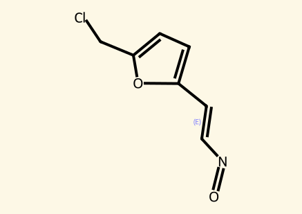 O=N/C=C/c1ccc(CCl)o1